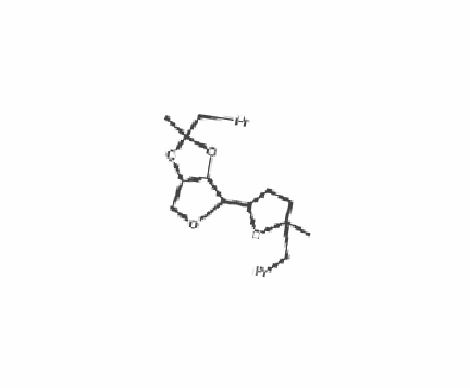 CC(C)CC1(C)CCC(C2OCC3OC(C)(CC(C)C)OC32)O1